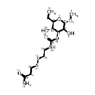 CCC1O[C@H](OC)C(O)[C@@H](OC(=O)NCCSSCCC(N)=O)[C@@H]1O